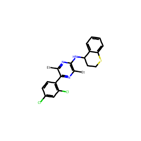 CCc1nc(-c2ccc(Cl)cc2Cl)c(CC)nc1NC1CCSc2ccccc21